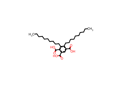 CCCCCCCCCCc1c(C(=O)O)cc(C(=O)O)c(C(=O)O)c1CCCCCCCCCC